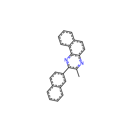 Cc1nc2ccc3ccccc3c2nc1-c1ccc2ccccc2c1